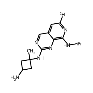 [2H]c1cc2cnc(NC3(C)CC(N)C3)nc2c(NC(C)C)n1